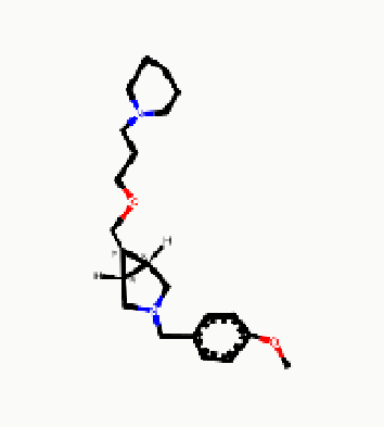 COc1ccc(CN2C[C@@H]3[C@@H](COCCCN4CCCCC4)[C@@H]3C2)cc1